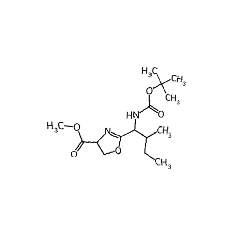 CCC(C)C(NC(=O)OC(C)(C)C)C1=NC(C(=O)OC)CO1